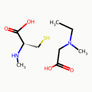 CCN(C)CC(=O)O.CN[C@@H](CS)C(=O)O